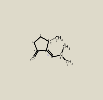 C[C@H]1CCC(=O)/C1=C/N(C)C